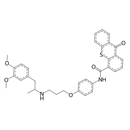 COc1ccc(CC(C)NCCCOc2ccc(NC(=O)c3cccc4c(=O)c5ccccc5sc34)cc2)cc1OC